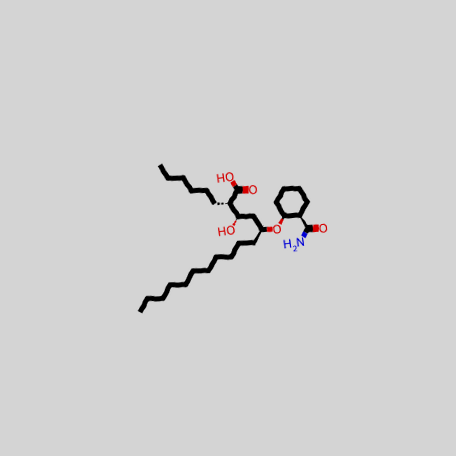 CCCCCCCCCCC[C@@H](C[C@H](O)[C@H](CCCCCC)C(=O)O)O[C@H]1CCCC[C@H]1C(N)=O